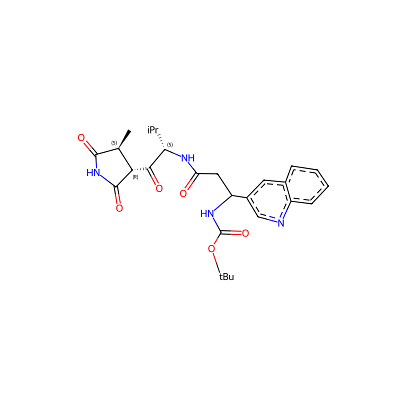 CC(C)[C@H](NC(=O)CC(NC(=O)OC(C)(C)C)c1cnc2ccccc2c1)C(=O)[C@@H]1C(=O)NC(=O)[C@H]1C